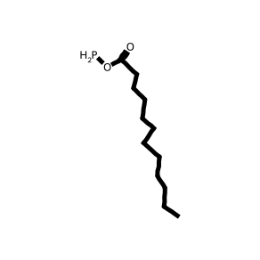 CCCCCCCCCCCC(=O)OP